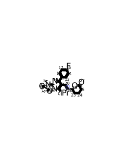 CC(C)c1nc(N(C)S(C)(=O)=O)nc(-c2ccc(F)cc2)c1/C=C/[C@@H]1CCCC(=O)O1